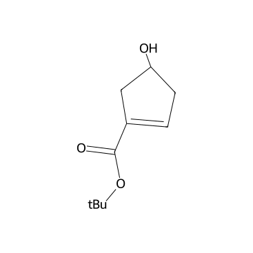 CC(C)(C)OC(=O)C1=CCC(O)C1